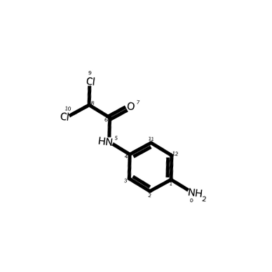 Nc1ccc(NC(=O)C(Cl)Cl)cc1